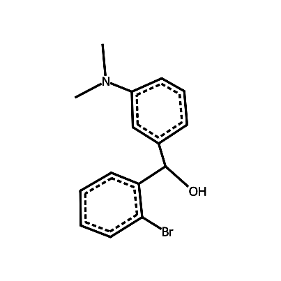 CN(C)c1cccc(C(O)c2ccccc2Br)c1